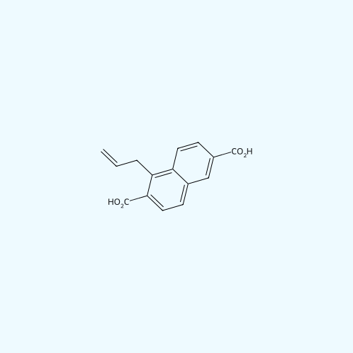 C=CCc1c(C(=O)O)ccc2cc(C(=O)O)ccc12